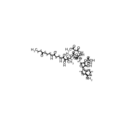 CC(=O)CC(=O)O.CCCC(=O)SCCNC(=O)CCNC(=O)[C@H](O)C(C)(C)COP(=O)(O)OP(=O)(O)OC[C@H]1O[C@@H](n2cnc3c(N)ncnc32)[C@H](O)[C@@H]1OP(=O)(O)O